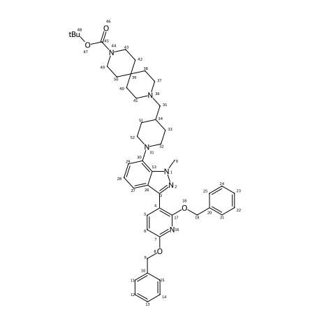 Cn1nc(-c2ccc(OCc3ccccc3)nc2OCc2ccccc2)c2cccc(N3CCC(CN4CCC5(CC4)CCN(C(=O)OC(C)(C)C)CC5)CC3)c21